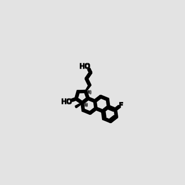 C[C@]12CCC3c4cccc(F)c4CCC3C1[C@H](CCCO)CC2O